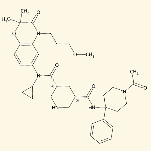 COCCCN1C(=O)C(C)(C)Oc2ccc(N(C(=O)[C@H]3CNC[C@@H](C(=O)NC4(c5ccccc5)CCN(C(C)=O)CC4)C3)C3CC3)cc21